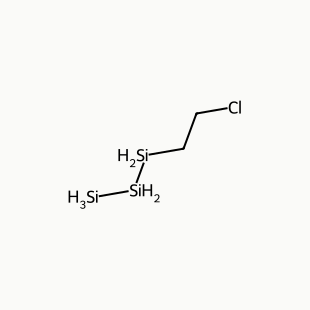 [SiH3][SiH2][SiH2]CCCl